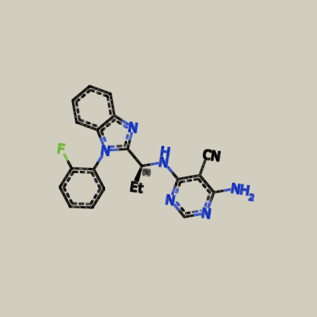 CC[C@H](Nc1ncnc(N)c1C#N)c1nc2ccccc2n1-c1ccccc1F